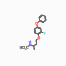 CC(CCOc1ccc(Oc2ccccc2)cc1F)NC(=O)O